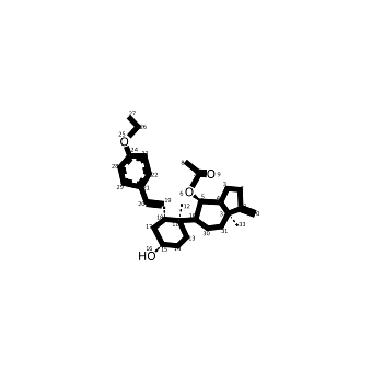 C=C1CCC2[C@H](OC(C)=O)C([C@@]3(C)CC[C@H](O)C[C@@H]3/C=C/c3ccc(OCC)cc3)CC[C@]12C